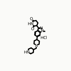 Cl.Cn1nc(C2CCC(=O)NC2=O)c2ccc(C3CCN(CC4CCNCC4)CC3)cc21